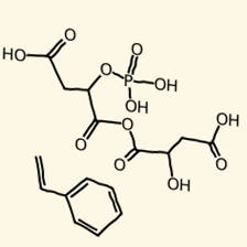 C=Cc1ccccc1.O=C(O)CC(O)C(=O)OC(=O)C(CC(=O)O)OP(=O)(O)O